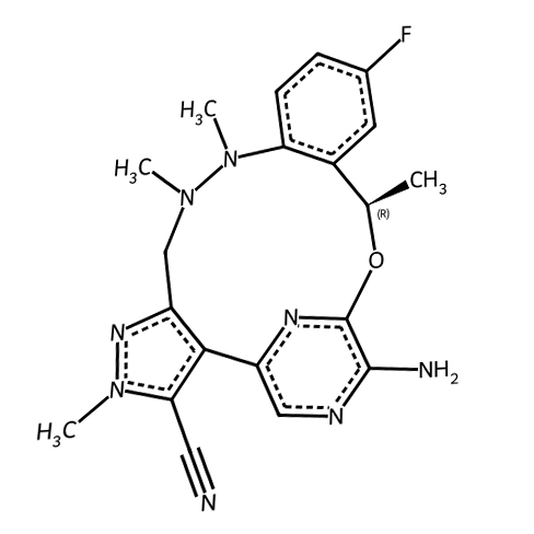 C[C@H]1Oc2nc(cnc2N)-c2c(nn(C)c2C#N)CN(C)N(C)c2ccc(F)cc21